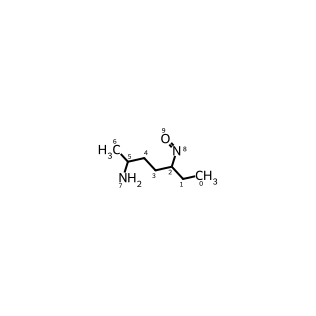 CCC(CCC(C)N)N=O